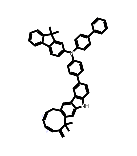 C=C1/C=C\C=C/Cc2cc3c(cc2C1(C)C)[nH]c1ccc(-c2ccc(N(c4ccc(-c5ccccc5)cc4)c4ccc5c(c4)C(C)(C)c4ccccc4-5)cc2)cc13